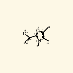 Cc1oc(C(=O)[O-])[n+](C)c1C